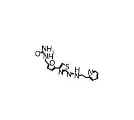 NC(=O)NCc1ccc(-c2csc(N=CNCCc3ccccn3)n2)o1